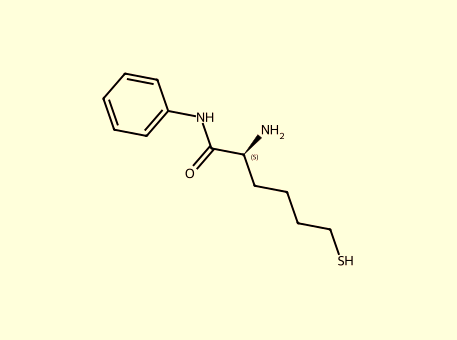 N[C@@H](CCCCS)C(=O)Nc1ccccc1